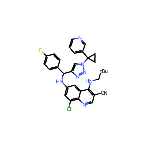 CC(C)(C)CNc1c(C#N)cnc2c(Cl)cc(NC(c3ccc(F)cc3)c3cn(C4(c5cccnc5)CC4)nn3)cc12